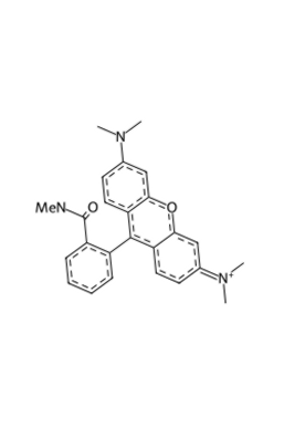 CNC(=O)c1ccccc1-c1c2ccc(=[N+](C)C)cc-2oc2cc(N(C)C)ccc12